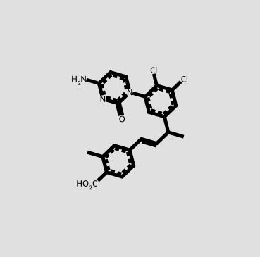 Cc1cc(/C=C/C(C)c2cc(Cl)c(Cl)c(-n3ccc(N)nc3=O)c2)ccc1C(=O)O